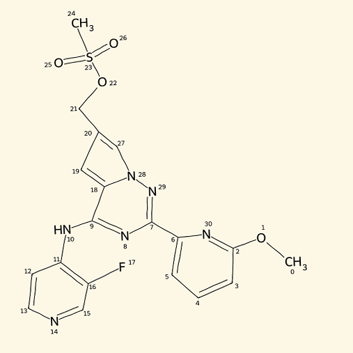 COc1cccc(-c2nc(Nc3ccncc3F)c3cc(COS(C)(=O)=O)cn3n2)n1